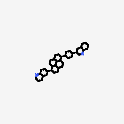 c1ccc2ncc(-c3ccc(-c4ccc5ccc6c(-c7ccc8ncccc8c7)ccc7ccc4c5c76)cc3)cc2c1